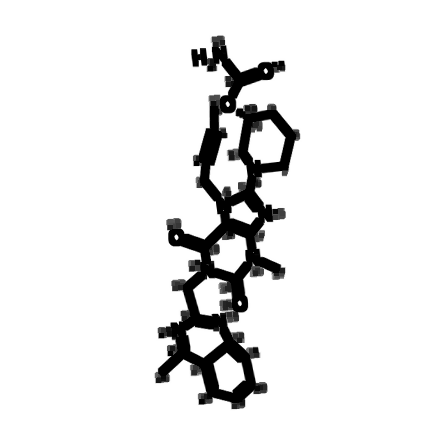 CC#CCn1c(N2CCC[C@@H](OC(N)=O)C2)nc2c1c(=O)n(Cc1nc(C)c3ccccc3n1)c(=O)n2C